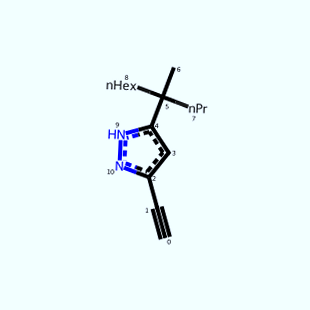 C#Cc1cc(C(C)(CCC)CCCCCC)[nH]n1